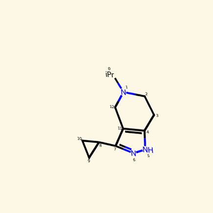 CC(C)N1CCc2[nH]nc(C3CC3)c2C1